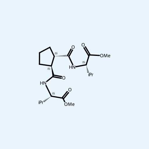 COC(=O)[C@@H](NC(=O)[C@H]1CCC[C@@H]1C(=O)N[C@H](C(=O)OC)C(C)C)C(C)C